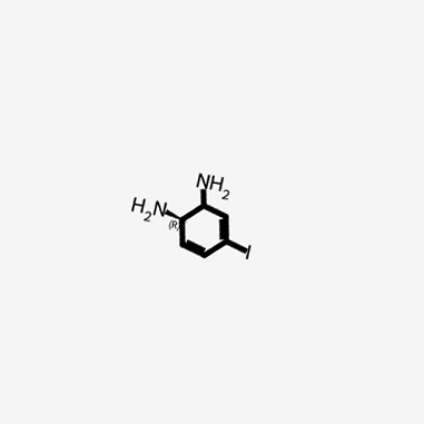 NC1C=C(I)C=C[C@H]1N